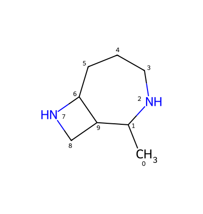 CC1NCCCC2NCC12